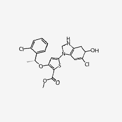 COC(=O)c1sc(N2CNC3=C2C=C(Cl)C(O)C3)cc1O[C@H](C)c1ccccc1Cl